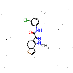 Cn1nc(C(=O)Nc2cccc(Cl)c2)c2c1-c1ccsc1CC2